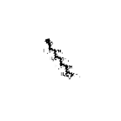 CC(C)=CCCC(C)=CCCC(C)=CCCC(C)=CCCC(C)=CCCC(C)=CCCC(C)=CCCC(C)CCOC(=O)c1ccccc1